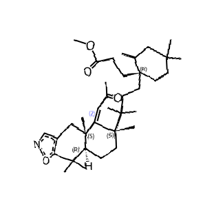 COC(=O)CC[C@]1(CCC(C)(C)[C@]2(C)CC[C@H]3C(C)(C)c4oncc4C[C@]3(C)/C2=C/C(C)=O)CCC(C)(C)CC1C